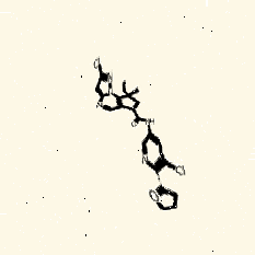 CC1(C)CC(C(=O)Nc2cnc([C@@H]3CCCO3)c(Cl)c2)c2cnc3cc(Cl)nn3c21